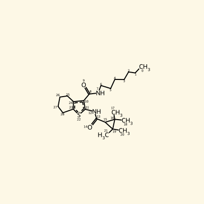 CCCCCCCNC(=O)c1c(NC(=O)C2C(C)(C)C2(C)C)sc2c1CCCC2